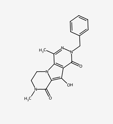 Cc1nn(Cc2ccccc2)c(=O)c2c(O)c3n(c12)CCN(C)C3=O